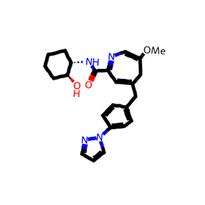 COC1=CN=C(C(=O)N[C@H]2CCCC[C@@H]2O)C=C(Cc2ccc(-n3cccn3)cc2)C1